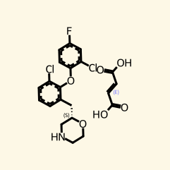 Fc1ccc(Oc2c(Cl)cccc2C[C@H]2CNCCO2)c(Cl)c1.O=C(O)/C=C/C(=O)O